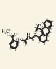 COC(=O)c1ccccc1NC(=O)NCCc1cccc2cc3ccccc3c(C(N)=O)c12